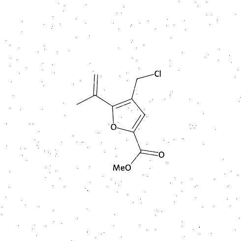 C=C(C)c1oc(C(=O)OC)cc1CCl